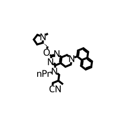 CCCN(CC(C)CC#N)c1nc(OC[C@@H]2CCCN2C)nc2c1CCN(c1cccc3ccccc13)C2